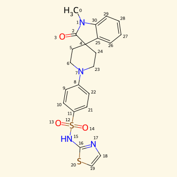 CN1C(=O)C2(CCN(c3ccc(S(=O)(=O)Nc4nccs4)cc3)CC2)c2ccccc21